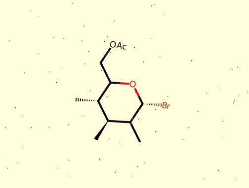 CC(=O)OCC1O[C@H](Br)C(C)[C@@H](C)[C@@H]1C